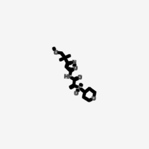 C=C(C(=O)Nc1cc(C(C)(C)COC)no1)S(=C)(=O)C1CCOCC1